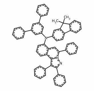 CC1(C)c2ccccc2-c2ccc(N(c3cc(-c4ccccc4)cc(-c4ccccc4)c3)c3cccc4c3cc(-c3ccccc3)n3nc(-c5ccccc5)c(-c5ccccc5)c43)cc21